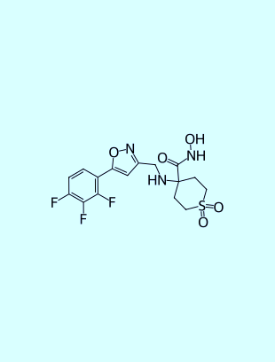 O=C(NO)C1(NCc2cc(-c3ccc(F)c(F)c3F)on2)CCS(=O)(=O)CC1